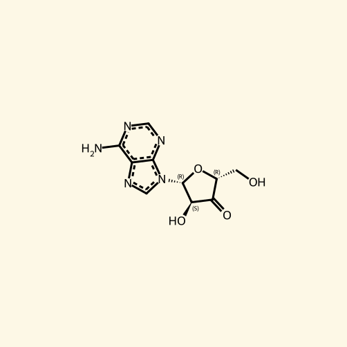 Nc1ncnc2c1ncn2[C@@H]1O[C@H](CO)C(=O)[C@H]1O